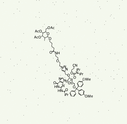 COc1ccc(C(OC[C@H]2O[C@@H](n3cnc4c(=O)[nH]c(NC(=O)C(C)C)nc43)C(OCc3cn(CCOCCNC(=O)CCCCOC4OC(COC(C)=O)C(OC(C)=O)C(OC(C)=O)C4C)nn3)[C@@H]2OP(OCCC#N)N(C(C)C)C(C)C)(c2ccccc2)c2ccc(OC)cc2)cc1